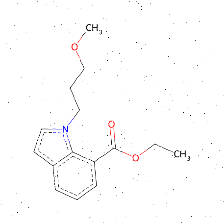 CCOC(=O)c1cccc2ccn(CCCOC)c12